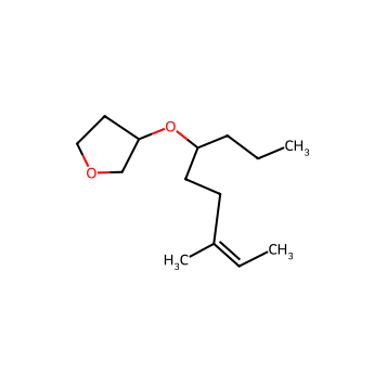 C/C=C(/C)CCC(CCC)OC1CCOC1